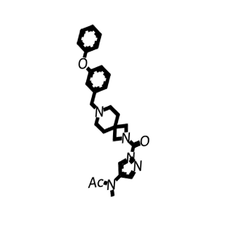 CC(=O)N(C)c1cnn(C(=O)N2CC3(CCN(Cc4cccc(Oc5ccccc5)c4)CC3)C2)c1